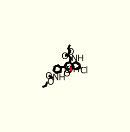 CCCOC(=O)Nc1cccc(C(=Cc2c(C(=O)OCC)[nH]c3cc(Cl)cc(Cl)c23)C(=O)O)c1